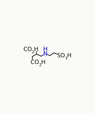 O=C(O)CC(CNCCS(=O)(=O)O)C(=O)O